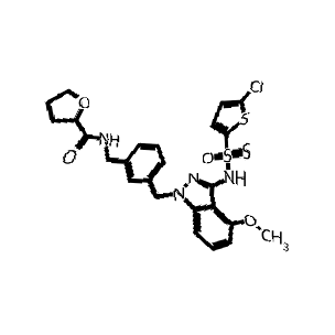 COc1cccc2c1c(NS(=O)(=S)c1ccc(Cl)s1)nn2Cc1cccc(CNC(=O)C2CCCO2)c1